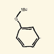 CC(C)(C)Oc1c[c][c]cc1